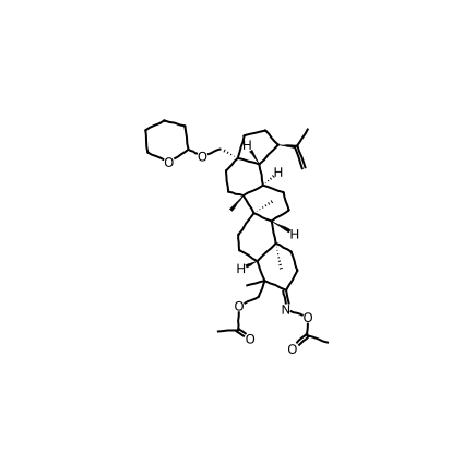 C=C(C)[C@@H]1CC[C@]2(COC3CCCCO3)CC[C@]3(C)[C@H](CC[C@@H]4[C@@]5(C)CCC(=NOC(C)=O)C(C)(COC(C)=O)[C@@H]5CC[C@]43C)[C@@H]12